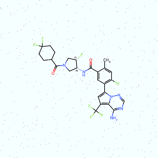 Cc1cc(F)c(-c2cc(C(F)(F)F)c3c(N)ncnn23)cc1C(=O)N[C@@H]1CN(C(=O)C2CCC(F)(F)CC2)C[C@@H]1F